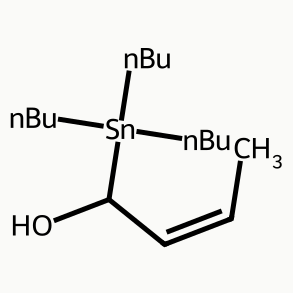 C/C=C\[CH](O)[Sn]([CH2]CCC)([CH2]CCC)[CH2]CCC